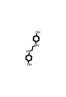 Oc1ccc(NCCNc2ccc(O)cc2)cc1